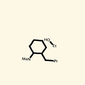 CCO.CNC1CCCCC1CC(C)C